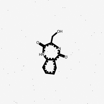 O=c1[nH]c2ccccc2c(=O)nc1CO